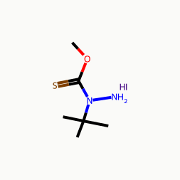 COC(=S)N(N)C(C)(C)C.I